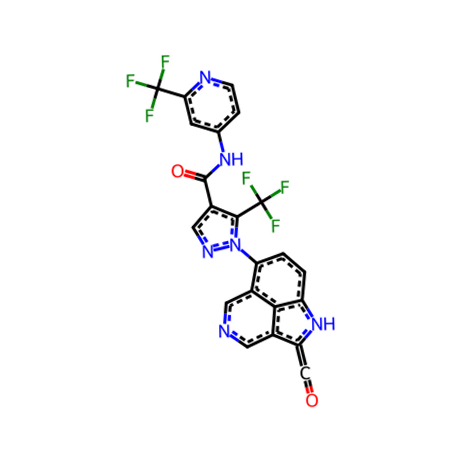 O=C=c1[nH]c2ccc(-n3ncc(C(=O)Nc4ccnc(C(F)(F)F)c4)c3C(F)(F)F)c3cncc1c23